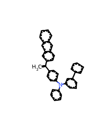 C=C(c1ccc(N(c2ccccc2)c2cccc(-c3ccccc3)c2)cc1)c1ccc2cc3ccccc3cc2c1